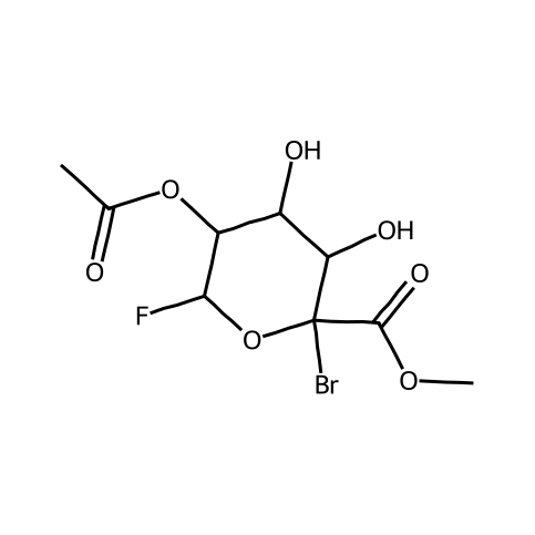 COC(=O)C1(Br)OC(F)C(OC(C)=O)C(O)C1O